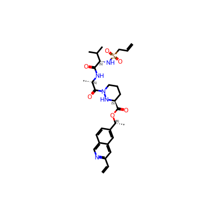 C=CCS(=O)(=O)N[C@H](C(=O)N[C@@H](C)C(=O)N1CCC[C@@H](C(=O)O[C@H](C)c2ccc3cnc(C=C)cc3c2)N1)C(C)C